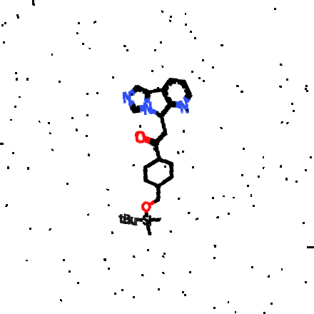 CC(C)(C)[Si](C)(C)OCC1CCC(C(=O)CC2c3ncccc3-c3cncn32)CC1